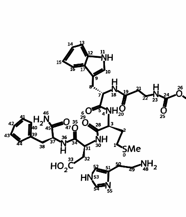 CSCC[C@H](NC(=O)[C@H](Cc1c[nH]c2ccccc12)NC(=O)CCNC(=O)OC(C)(C)C)C(=O)N[C@@H](CC(=O)O)C(=O)N[C@@H](Cc1ccccc1)C(N)=O.NCCc1c[nH]cn1